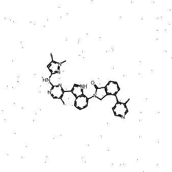 Cc1cnccc1-c1cccc2c1CN(c1cccc3c(-c4nc(Nc5cc(C)n(C)n5)ncc4C)c[nH]c13)C2=O